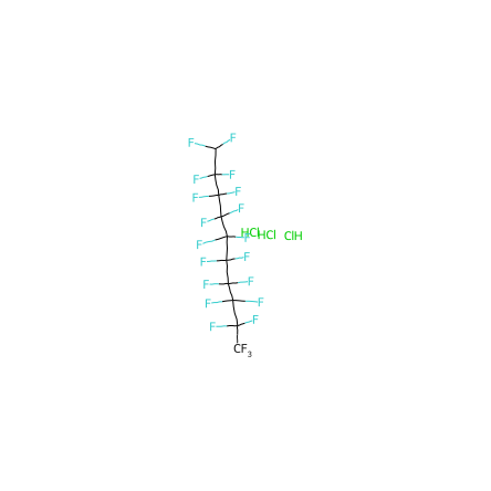 Cl.Cl.Cl.FC(F)C(F)(F)C(F)(F)C(F)(F)C(F)(F)C(F)(F)C(F)(F)C(F)(F)C(F)(F)C(F)(F)F